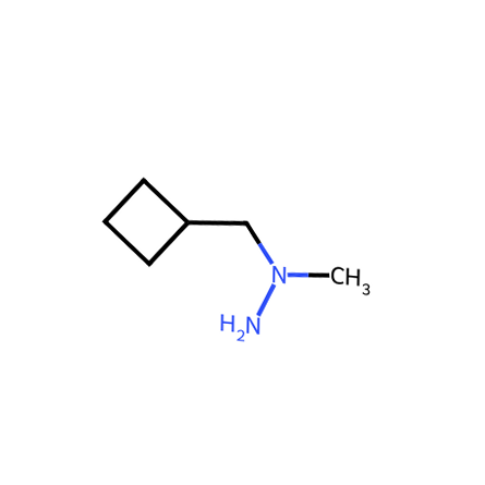 CN(N)CC1CCC1